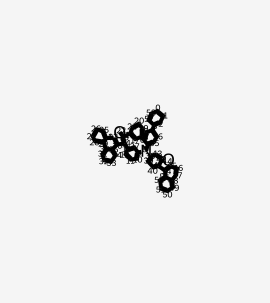 c1ccc(-c2ccc(N(c3cccc(-c4c(-c5ccccc5)oc5c6ccccc6c6ccccc6c45)c3)c3ccc4c(c3)oc3ccc5ccccc5c34)cc2)cc1